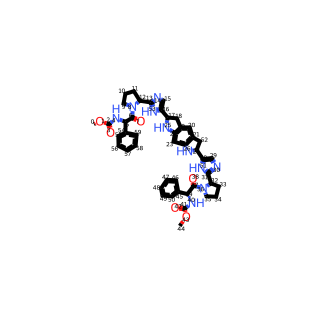 COC(=O)NC(C(=O)N1CCCC1c1ncc(C2Cc3cc4c(cc3N2)NC(c2cnc(C3CCCN3C(=O)[C@@H](NC(=O)OC)c3ccccc3)[nH]2)C4)[nH]1)c1ccccc1